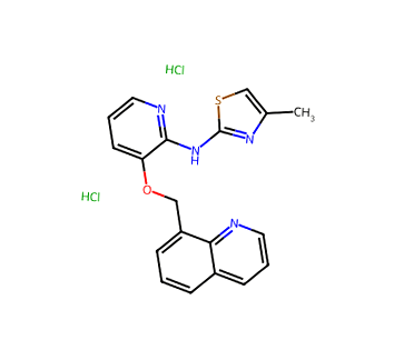 Cc1csc(Nc2ncccc2OCc2cccc3cccnc23)n1.Cl.Cl